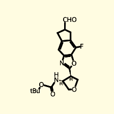 CC(C)(C)OC(=O)N[C@H]1COC[C@@H]1c1nc2cc3c(c(F)c2o1)CC(C=O)C3